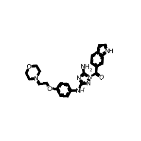 Nc1nc(Nc2ccc(OCCN3CCOCC3)cc2)nn1C(=O)c1ccc2cc[nH]c2c1